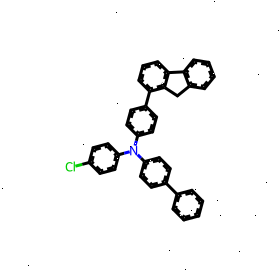 Clc1ccc(N(c2ccc(-c3ccccc3)cc2)c2ccc(-c3cccc4c3Cc3ccccc3-4)cc2)cc1